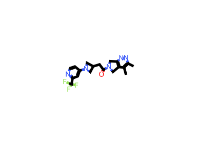 Cc1nnc2c(c1C)CN(C(=O)CC1CN(c3ccnc(C(F)(F)F)c3)C1)C2